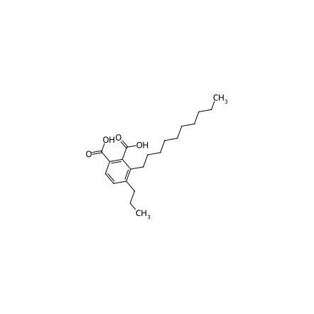 CCCCCCCCCCc1c(CCC)ccc(C(=O)O)c1C(=O)O